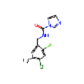 Cc1cc(CNC(=O)n2ccnc2)c(F)cc1Cl